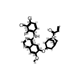 C=CC(=O)N1CC2CC(Oc3cc4c(Nc5ccc(Cl)c(Cl)c5F)ncnc4cc3OC)CC1C2